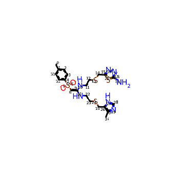 Cc1ccc(S(=O)(=O)C=C(NCCSCc2nnc(N)s2)NCCSCc2[nH]cnc2C)cc1